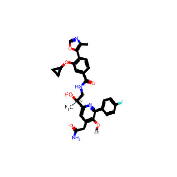 CCOc1c(CC(N)=O)cc([C@@](O)(CNC(=O)c2ccc(-c3ocnc3C)c(OC3CC3)c2)C(F)(F)F)nc1-c1ccc(F)cc1